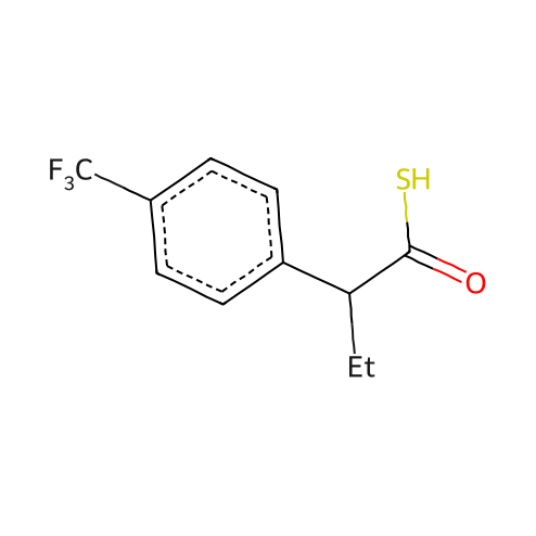 CCC(C(=O)S)c1ccc(C(F)(F)F)cc1